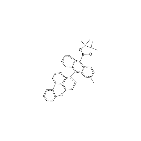 Cc1ccc2c(B3OC(C)(C)C(C)(C)O3)c3ccccc3c(-c3ccc4c5c(cccc35)-c3ccccc3O4)c2c1